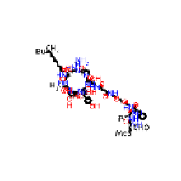 CC[C@H](C)C[C@H](C)CCCCCCCCC(=O)N[C@H]1C[C@@H](O)[C@@H](NCCN)NC(=O)[C@@H]2CCCN2C(=O)[C@H]([C@H](O)CCNC(=O)CCC(=O)NCCOCCOCCNC(=O)[C@H](Cc2ccccc2)NC(=O)[C@H](CC(C)C)NC(=O)[C@H](CCSC)NC=O)NC(=O)[C@H]([C@H](O)[C@@H](O)c2ccc(O)cc2)NC(=O)[C@@H]2C[C@@H](O)CN2C(=O)[C@H]([C@@H](C)O)NC1=O